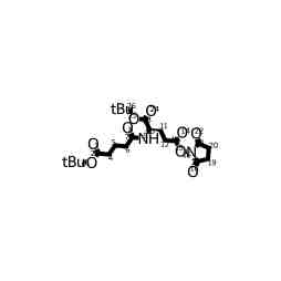 CC(C)(C)OC(=O)CCCC(=O)N[C@H](CCC(=O)ON1C(=O)CCC1=O)C(=O)OC(C)(C)C